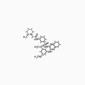 COc1cc(Nc2nc3ccccc3nc2NS(=O)(=O)c2cccc(NC(=O)CN3CCCCC3C)c2)cc(OC)c1